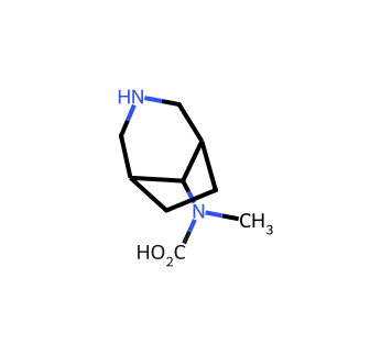 CN(C(=O)O)C1C2CCC1CNC2